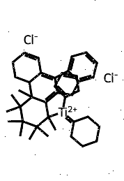 CC12C(=C3Cc4ccccc4C3=C3C=CCCC31)[C](C)([Ti+2]([C]1=CC=CC1)=[C]1CCCCC1)C(C)(C)C(C)(C)C2(C)C.[Cl-].[Cl-]